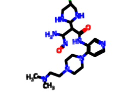 CN(C)CCN1CCN(c2ccncc2NC(=O)C(C(N)N=O)C2NCC(Cl)CN2)CC1